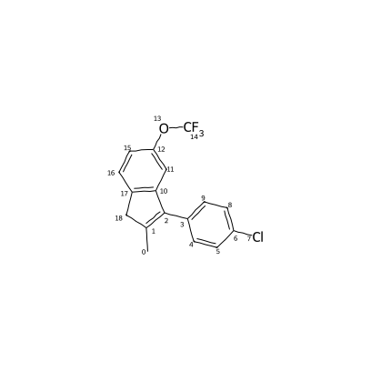 CC1=C(c2ccc(Cl)cc2)c2cc(OC(F)(F)F)ccc2C1